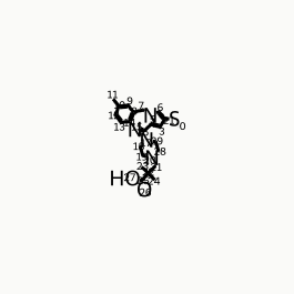 CSc1cc2n(c1)Cc1cc(C)ccc1N=C2N1CCN(CC(C)(C)C(=O)O)CC1